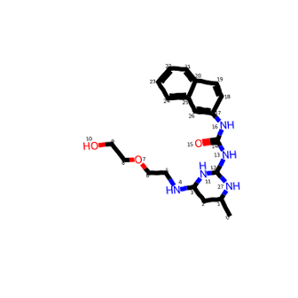 CC1CC(NCCOCCO)NC(NC(=O)Nc2ccc3ccccc3c2)N1